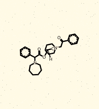 O=C(C[N+]12CCC(CC1)[C@@H](OC(=O)C(c1ccccc1)N1CCCCCC1)C2)c1ccccc1